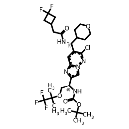 CC(C)(C)OC(=O)N[C@@H](COC(C)(C)C(F)(F)F)c1cn2nc(Cl)c([C@H](NC(=O)CC3CC(F)(F)C3)C3CCOCC3)cc2n1